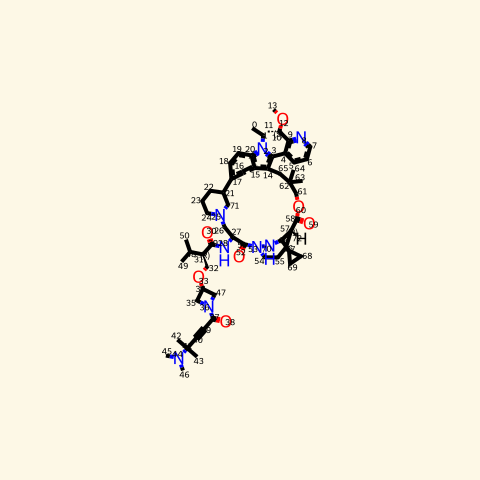 CCn1c(-c2cccnc2[C@H](C)OC)c2c3cc(ccc31)C1CCCN(CC(NC(=O)[C@@H](COC3CN(C(=O)C#CC(C)(C)N(C)C)C3)C(C)C)C(=O)N3CCC[C@@H](C(=O)OCC(C)(C)C2)C(C2CC2)N3)C1